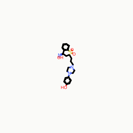 O=S1(=O)c2ccccc2C(=NO)CC1CCCN1CCN(c2ccc(O)cc2)CC1